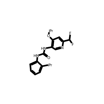 CC(C)Oc1cc(C(F)F)ncc1NC(=O)Nc1ccccc1C(C)C